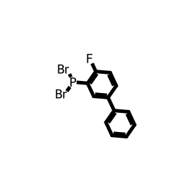 Fc1ccc(-c2ccccc2)cc1P(Br)Br